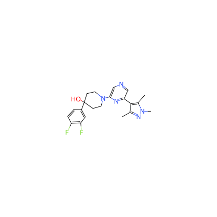 Cc1nn(C)c(C)c1-c1cncc(N2CCC(O)(c3ccc(F)c(F)c3)CC2)n1